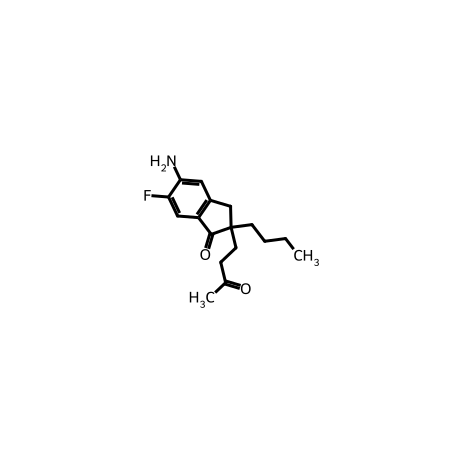 CCCCC1(CCC(C)=O)Cc2cc(N)c(F)cc2C1=O